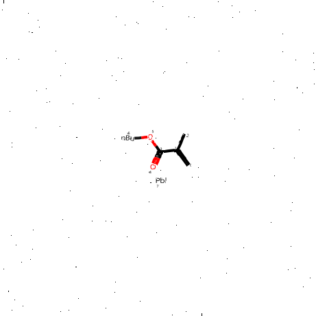 C=C(C)C(=O)OCCCC.[Pb]